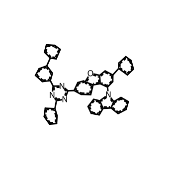 c1ccc(-c2cccc(-c3nc(-c4ccccc4)nc(-c4ccc5c(c4)oc4cc(-c6ccccc6)cc(-n6c7ccccc7c7ccccc76)c45)n3)c2)cc1